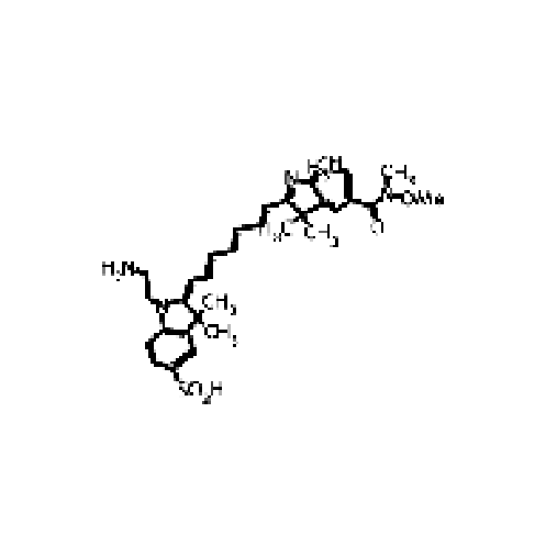 C=C1N=C(/C=C/C=C/C=C/C=C2/N(CCN)c3ccc(S(=O)(=O)O)cc3C2(C)C)C(C)(C)/C1=C/C(=C\C)C(=O)N(C)OC